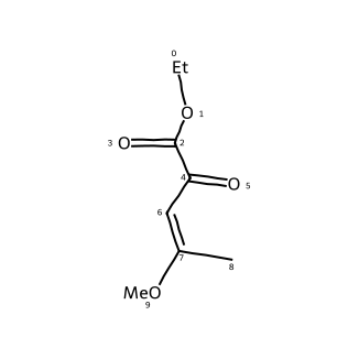 CCOC(=O)C(=O)C=C(C)OC